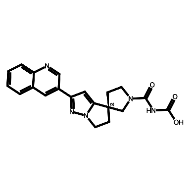 O=C(O)NC(=O)N1CC[C@]2(CCn3nc(-c4cnc5ccccc5c4)cc32)C1